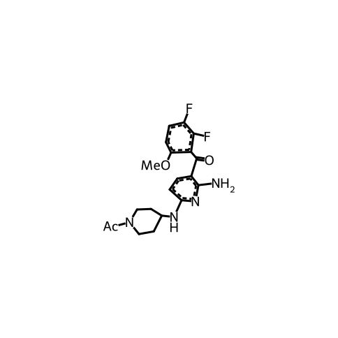 COc1ccc(F)c(F)c1C(=O)c1ccc(NC2CCN(C(C)=O)CC2)nc1N